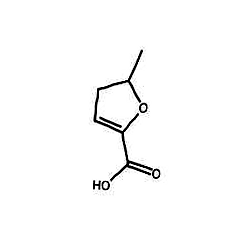 CC1CC=C(C(=O)O)O1